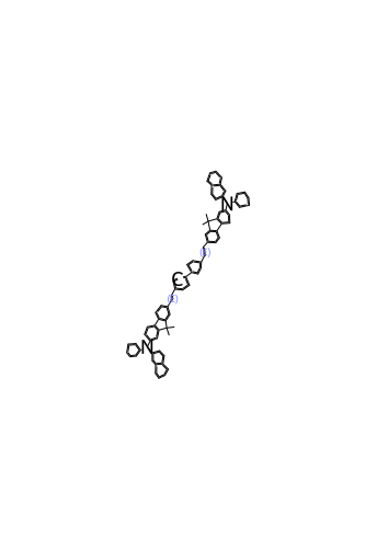 CC1(C)c2cc(/C=C/c3ccc(-c4ccc(/C=C/c5ccc6c(c5)C(C)(C)c5cc(N(c7ccccc7)c7ccc8ccccc8c7)ccc5-6)cc4)cc3)ccc2-c2ccc(N(c3ccccc3)c3ccc4ccccc4c3)cc21